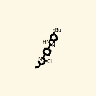 C=Cc1cnc(-c2ccc(-c3nc4ccc(C(C)(C)C)cc4[nH]3)cc2)c(Cl)c1